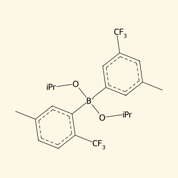 Cc1cc([B-](OC(C)C)(OC(C)C)c2cc(C)ccc2C(F)(F)F)cc(C(F)(F)F)c1